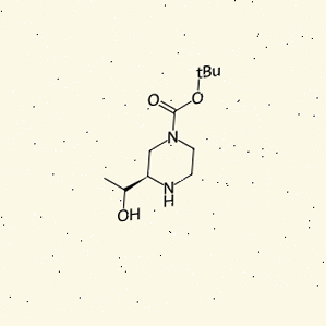 CC(O)[C@H]1CN(C(=O)OC(C)(C)C)CCN1